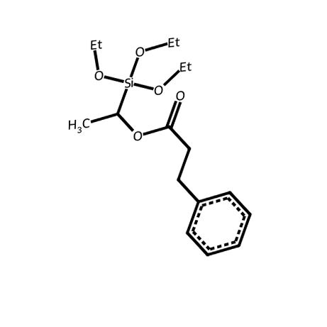 CCO[Si](OCC)(OCC)C(C)OC(=O)CCc1ccccc1